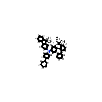 CC(C)(C)c1cccc(-c2ccccc2)c1-c1ccc(N(c2ccc(C3CCCCC3)cc2)c2ccc3c(c2)C(C)(C)c2ccccc2-3)cc1